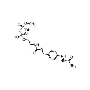 COP(=O)(O)OP(=O)(O)OCCNC(=O)OCc1ccc(NNC(N)=O)cc1